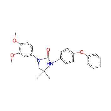 COc1ccc(N(CC(C)(C)C)C(=O)Nc2ccc(Oc3ccccc3)cc2)cc1OC